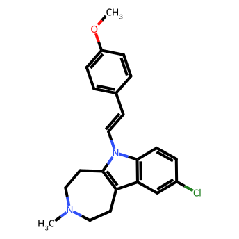 COc1ccc(/C=C/n2c3c(c4cc(Cl)ccc42)CCN(C)CC3)cc1